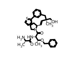 C[C@H](N)C(=O)N[C@H](C(=O)N1CCC[C@H]1/C=C/[C@](C)(CO)Cc1cccc(-c2cccs2)c1)[C@@H](C)OCc1ccccc1